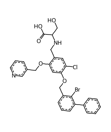 O=C(O)C(CO)NCc1cc(Cl)c(OCc2cccc(-c3ccccc3)c2Br)cc1OCc1cccnc1